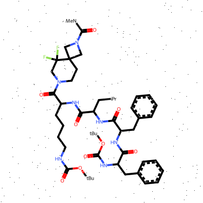 CNC(=O)N1CC2(CCN(C(=O)C(CCCCNC(=O)OC(C)(C)C)NC(=O)C(CC(C)C)NC(=O)C(Cc3ccccc3)NC(=O)C(Cc3ccccc3)NC(=O)OC(C)(C)C)CC2(F)F)C1